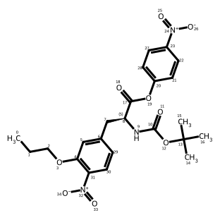 CCCOc1cc(C[C@H](NC(=O)OC(C)(C)C)C(=O)Oc2ccc([N+](=O)[O-])cc2)ccc1[N+](=O)[O-]